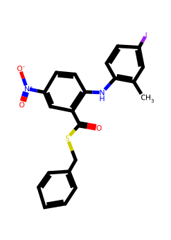 Cc1cc(I)ccc1Nc1ccc([N+](=O)[O-])cc1C(=O)SCc1ccccc1